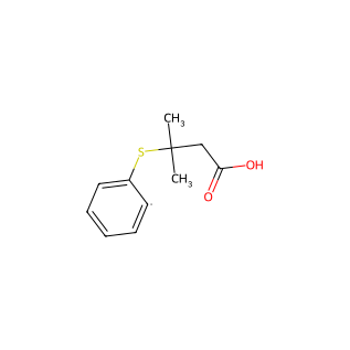 CC(C)(CC(=O)O)Sc1[c]cccc1